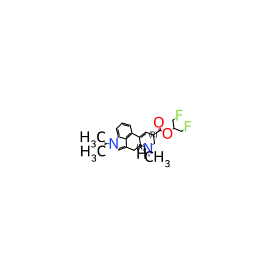 CC(C)n1cc2c3c(cccc31)C1=C[C@@H](C(=O)OC(CF)CF)CN(C)[C@@H]1C2